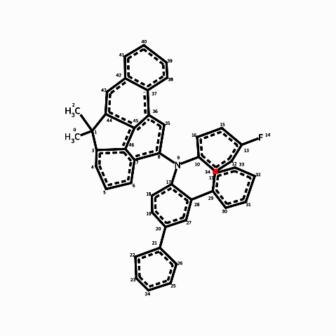 CC1(C)c2cccc3c(N(c4ccc(F)cc4)c4ccc(-c5ccccc5)cc4-c4ccccc4)cc4c5ccccc5cc1c4c23